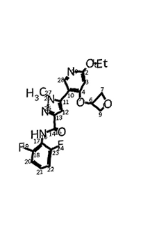 CCOc1cc(OC2COC2)c(-c2cc(C(=O)Nc3c(F)cccc3F)nn2C)cn1